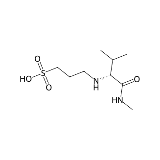 CNC(=O)[C@H](NCCCS(=O)(=O)O)C(C)C